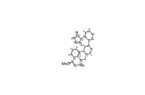 CCCCN(Cc1ccc(-c2ccccc2-c2nnn[nH]2)cc1)c1ncccc1C(=O)OC